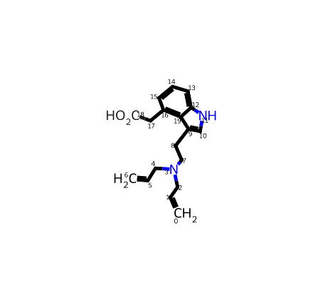 C=CCN(CC=C)CCc1c[nH]c2cccc(CC(=O)O)c12